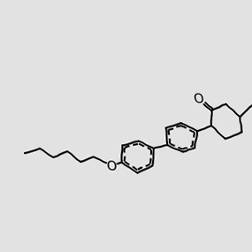 CCCCCCOc1ccc(-c2ccc(C3CCC(C)CC3=O)cc2)cc1